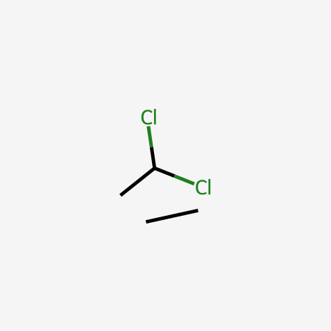 CC.CC(Cl)Cl